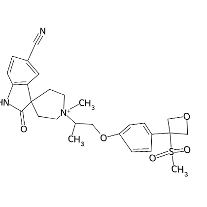 CC(COc1ccc(C2(S(C)(=O)=O)COC2)cc1)[N+]1(C)CCC2(CC1)C(=O)Nc1ccc(C#N)cc12